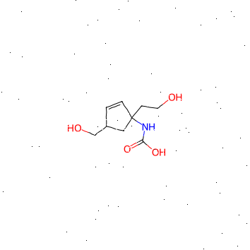 O=C(O)NC1(CCO)C=CC(CO)C1